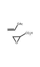 C=COC(C)=O.O=C(O)C1CO1